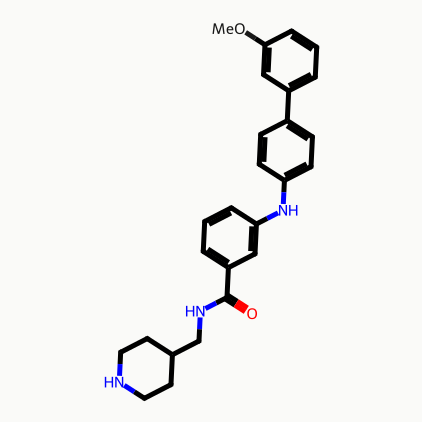 COc1cccc(-c2ccc(Nc3cccc(C(=O)NCC4CCNCC4)c3)cc2)c1